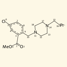 COC(=O)c1cc(Cl)ccc1CN1CCN(C[C](C)C)CC1